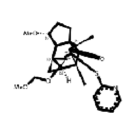 COCO[C@@H]1C[C@@](C)(Sc2ccccn2)C(=O)[C@H](C)C23CC[C@H]4C[C@]41C2[C@H](OC)CC3